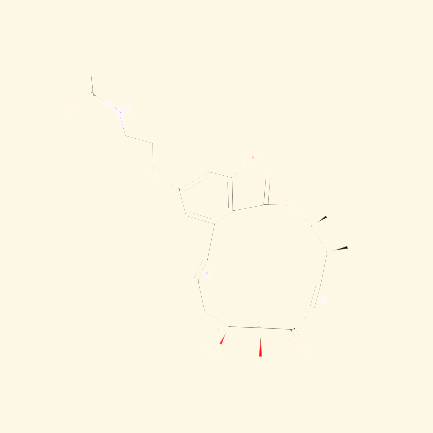 CC(=O)NCCOc1cc(O)c2c(c1)/C=C/C[C@H](O)[C@H](O)C(=O)/C=C\[C@H](C)[C@H](C)OC2=O